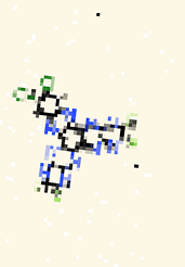 Fc1nc2nc3c4nc5cc(Cl)c(Cl)cc5nc4c4nc5nc(F)c(F)nc5nc4c3nc2nc1F